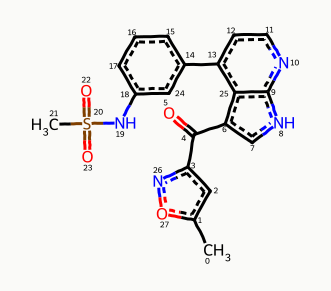 Cc1cc(C(=O)c2c[nH]c3nccc(-c4cccc(NS(C)(=O)=O)c4)c23)no1